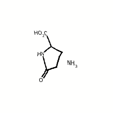 N.O=C1CCC(C(=O)O)N1